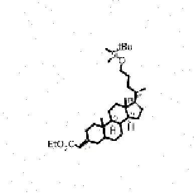 CCOC(=O)/C=C1\CCC2(C)C(CCC3[C@@H]2CCC2(C)[C@@H]([C@H](C)CCCO[Si](C)(C)C(C)(C)C)CC[C@@H]32)C1